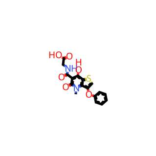 Cn1c(=O)c(C(=O)NCC(=O)O)c(O)c2scc(Oc3ccccc3)c21